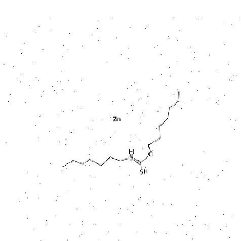 CCCCCCCOC(S)=[SH]CCCCCCC.[Zn]